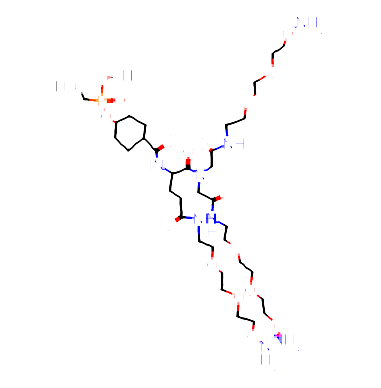 CCP(=O)(OC)OC1CCC(C(=O)NC(CCC(=O)NCCOCCOCCON)C(=O)N(CC(=O)NCCOCCOCCON)CC(=O)NCCOCCOCCON)CC1